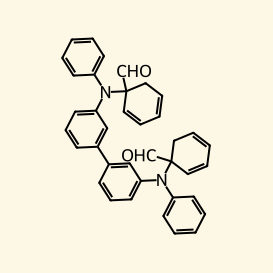 O=CC1(N(c2ccccc2)c2cccc(-c3cccc(N(c4ccccc4)C4(C=O)C=CC=CC4)c3)c2)C=CC=CC1